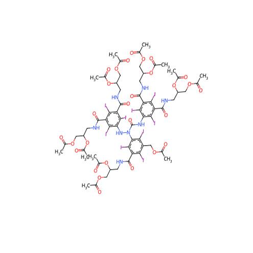 CC(=O)OCc1c(I)c(C(=O)NCC(COC(C)=O)OC(C)=O)c(I)c(N(Nc2c(I)c(C(=O)NCC(COC(C)=O)OC(C)=O)c(I)c(C(=O)NCC(COC(C)=O)OC(C)=O)c2I)C(=O)Nc2c(I)c(C(=O)NCC(COC(C)=O)OC(C)=O)c(I)c(C(=O)NCC(COC(C)=O)OC(C)=O)c2I)c1I